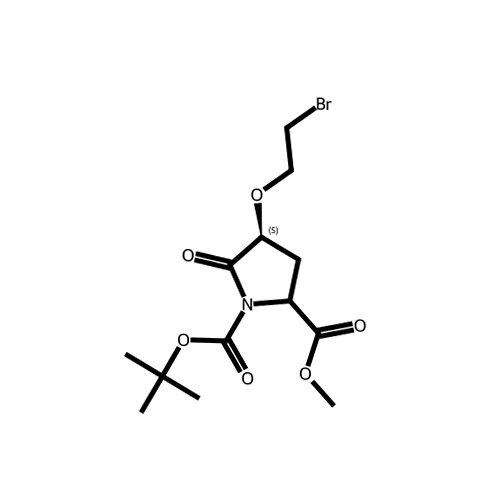 COC(=O)C1C[C@H](OCCBr)C(=O)N1C(=O)OC(C)(C)C